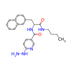 CCCCNC(=O)C(Cc1ccc2ccccc2c1)NC(=O)c1ccc(NN)nc1